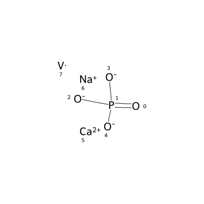 O=P([O-])([O-])[O-].[Ca+2].[Na+].[V]